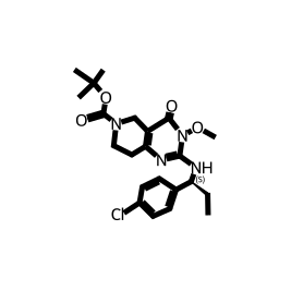 CC[C@H](Nc1nc2c(c(=O)n1OC)CN(C(=O)OC(C)(C)C)CC2)c1ccc(Cl)cc1